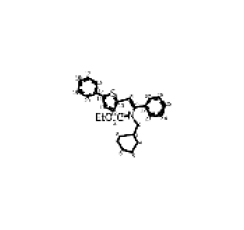 CCOC(=O)N(CC1CCCCC1)/C(=C\c1ccc(-c2ccccc2)s1)c1ccccc1